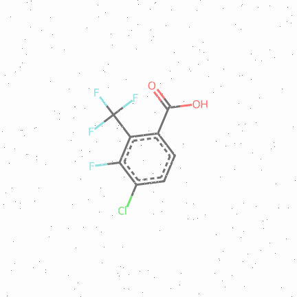 O=C(O)c1ccc(Cl)c(F)c1C(F)(F)F